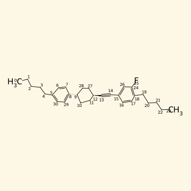 CCCCCc1ccc([C@H]2CC[C@H](C#Cc3ccc(CCCCC)c(F)c3)CC2)cc1